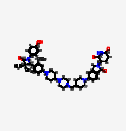 COc1cc(N2CCC(N3CCN(CC4CCN(c5ccc6c(c5)CN(C5CCC(=O)NC5=O)C6=O)CC4)CC3)CC2)ccc1[C@@H]1N(c2ccc(O)cc2)C(=O)C1(C)C